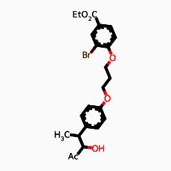 CCOC(=O)c1ccc(OCCCOc2ccc(C(C)C(O)C(C)=O)cc2)c(Br)c1